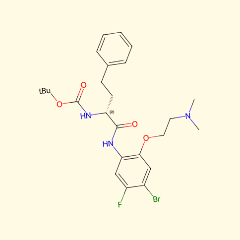 CN(C)CCOc1cc(Br)c(F)cc1NC(=O)[C@@H](CCc1ccccc1)NC(=O)OC(C)(C)C